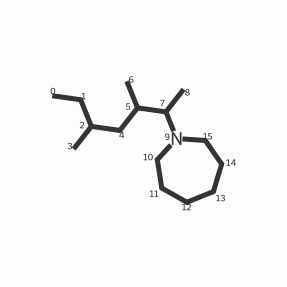 CCC(C)CC(C)C(C)N1CCCCCC1